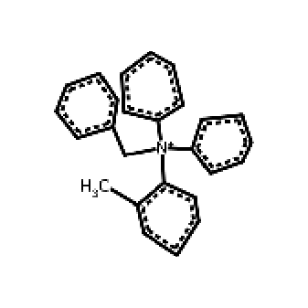 Cc1ccccc1[N+](Cc1ccccc1)(c1ccccc1)c1ccccc1